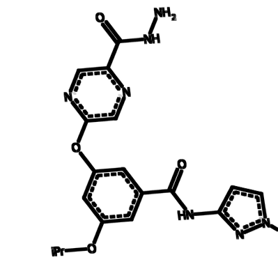 CC(C)Oc1cc(Oc2cnc(C(=O)NN)cn2)cc(C(=O)Nc2ccn(C)n2)c1